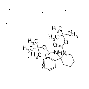 CC(C)(C)OC(=O)NC1(c2ccncc2)CCCCN1C(=O)OC(C)(C)C